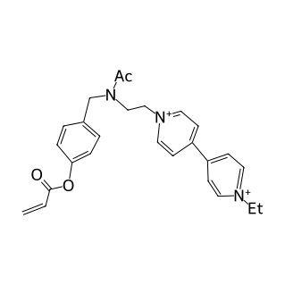 C=CC(=O)Oc1ccc(CN(CC[n+]2ccc(-c3cc[n+](CC)cc3)cc2)C(C)=O)cc1